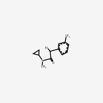 CCC(C(=O)N(C)C1CC1)c1cccc(C(F)(F)F)c1